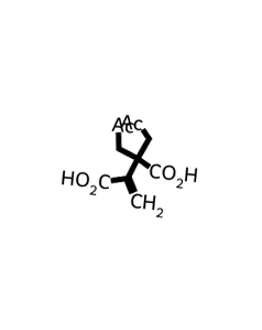 C=C(C(=O)O)C(CC(C)=O)(CC(C)=O)C(=O)O